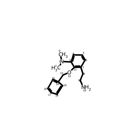 CN(C)c1cccc(CCN)c1OCc1ccccc1